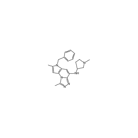 Cc1cc2c(cc(NC3CCN(C)C3)c3nnc(C)n32)n1Cc1ccccc1